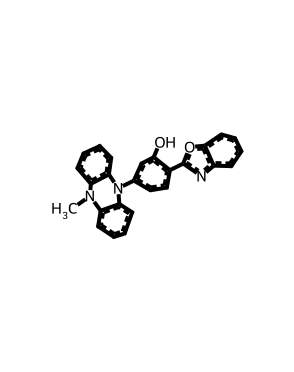 CN1c2ccccc2N(c2ccc(-c3nc4ccccc4o3)c(O)c2)c2ccccc21